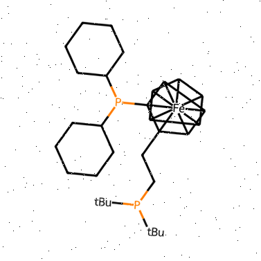 CC(C)(C)P(CC[C]12[CH]3[CH]4[CH]5[C]1(P(C1CCCCC1)C1CCCCC1)[Fe]43521678[CH]2[CH]1[CH]6[CH]7[CH]28)C(C)(C)C